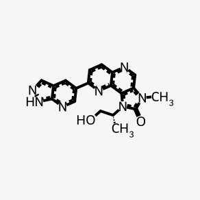 C[C@H](CO)n1c(=O)n(C)c2cnc3ccc(-c4cnc5[nH]ncc5c4)nc3c21